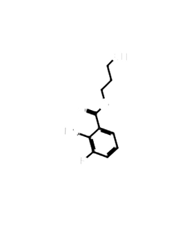 CCCCOC(=O)c1cccc(F)c1N